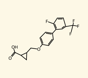 O=C(O)C1CC1COc1ccc(-c2cc(C(F)(F)F)ccc2F)cc1